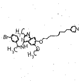 COc1cc2c(N[C@H](C)c3cccc(Br)c3)nc(C)nc2cc1OCCCCCCCc1ccncc1